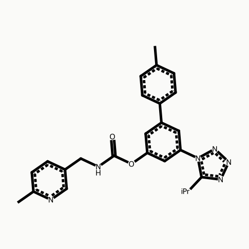 Cc1ccc(-c2cc(OC(=O)NCc3ccc(C)nc3)cc(-n3nnnc3C(C)C)c2)cc1